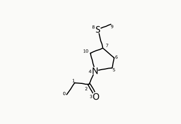 CCC(=O)N1CCC(SC)C1